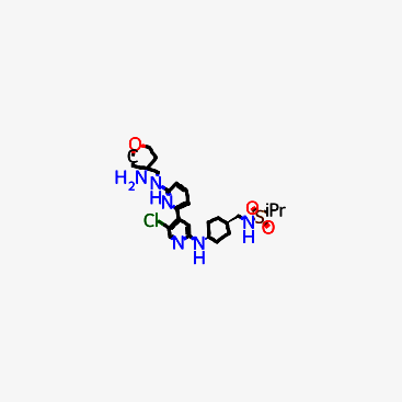 CC(C)S(=O)(=O)NC[C@H]1CC[C@H](Nc2cc(-c3cccc(NCC4(N)CCOCC4)n3)c(Cl)cn2)CC1